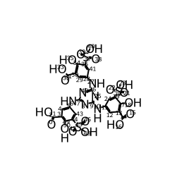 O=C(O)c1cc(Nc2nc(Nc3cc(C(=O)O)c(O)c(S(=O)(=O)O)c3)nc(Nc3cc(C(=O)O)c(O)c(S(=O)(=O)O)c3)n2)cc(S(=O)(=O)O)c1O